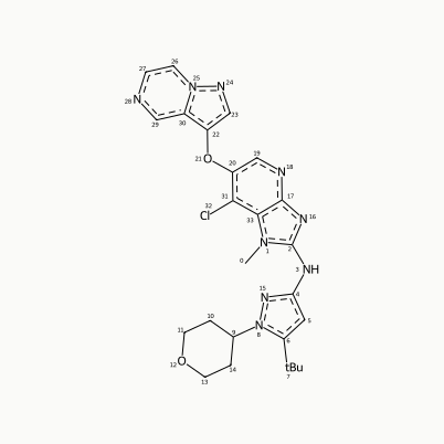 Cn1c(Nc2cc(C(C)(C)C)n(C3CCOCC3)n2)nc2ncc(Oc3cnn4ccncc34)c(Cl)c21